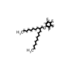 CCCCCCCCCCC(CCCCCCCC)COc1cc(F)c(F)c(F)c1F